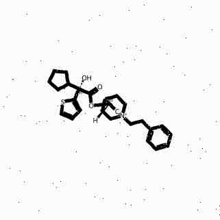 O=C(O[C@H]1C[N+]2(CCc3ccccc3)CCC1CC2)[C@@](O)(c1cccs1)C1CCCC1